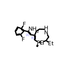 C=[PH]1/C=C(/C=C(\N)c2c(F)cccc2F)CCCNCC(CC)C1